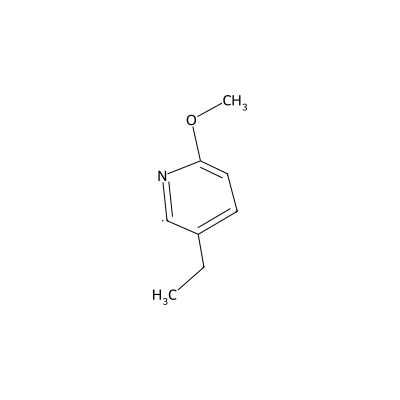 CCc1[c]nc(OC)cc1